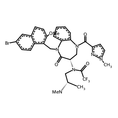 CN[C@@H](C)CN(C(=O)C(F)(F)F)[C@H]1CN(C(=O)c2ccn(C)n2)c2ccccc2N(Cc2c(OC)ccc3cc(Br)ccc23)C1=O